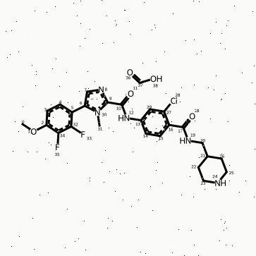 COc1ccc(-c2cnc(C(=O)Nc3ccc(C(=O)NCC4CCNCC4)c(Cl)c3)n2C)c(F)c1F.O=CO